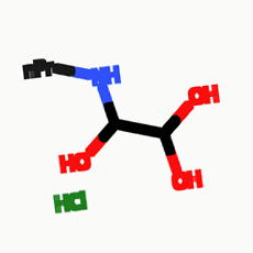 CCCNC(O)C(O)O.Cl